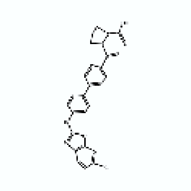 O=C(O)C1CCCC1C(=O)c1ccc(-c2ccc(Nc3nc4ccc(Cl)cc4o3)cc2)cc1